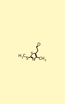 CSc1nc(C)c(CC=O)s1